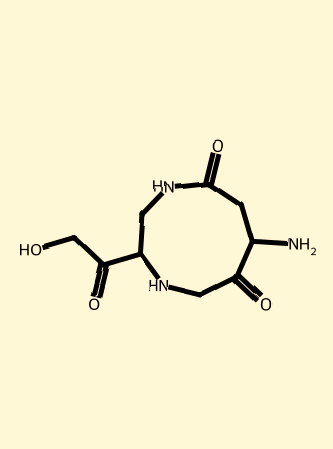 NC1CC(=O)NCC(C(=O)CO)NCC1=O